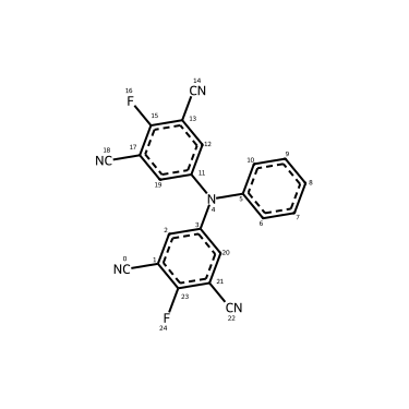 N#Cc1cc(N(c2ccccc2)c2cc(C#N)c(F)c(C#N)c2)cc(C#N)c1F